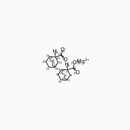 O=C([O-])[C@@H]1CC2CCC1CC2.O=C([O-])[C@@H]1CC2CCC1CC2.[Mg+2]